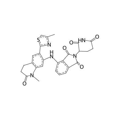 Cc1csc(-c2cc3c(cc2Nc2cccc4c2C(=O)N(C2CCC(=O)NC2=O)C4=O)N(C)C(=O)CC3)n1